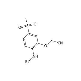 CCNc1ccc(S(C)(=O)=O)cc1OCC#N